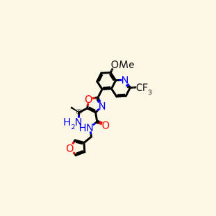 COc1ccc(-c2nc(C(=O)NCc3ccoc3)c([C@H](C)N)o2)c2ccc(C(F)(F)F)nc12